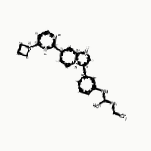 OC(NCC(F)(F)F)Nc1cccc(-c2cnc3cc(-c4nccc(N5CCC5)n4)ccn23)c1